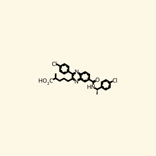 CC(CCCc1nc2cc(C(=O)N[C@H](C)c3ccc(Cl)cc3)ccc2nc1-c1ccc(Cl)cc1)C(=O)O